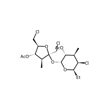 CC[C@H]1O[C@H](O[C@]2(CCl)O[C@H](CCl)[C@@H](OC(C)=O)[C@@H]2C)[C@H](OC(C)=O)[C@@H](C)[C@H]1Cl